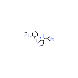 Cn1cc(-c2nn(-c3cccc(CN4CCC4)c3C(F)(F)F)c3cnccc23)cn1